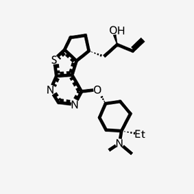 C=C[C@H](O)C[C@H]1CCc2sc3ncnc(O[C@H]4CC[C@](CC)(N(C)C)CC4)c3c21